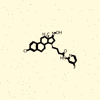 C[C@]12CCC3c4ccc(Cl)cc4CCC3C1[C@H](CCCC(=O)Nc1cc(F)ccn1)C/C2=N\O